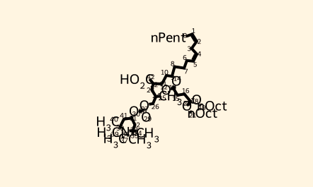 CCCCC/C=C\C/C=C\CCCCCC(OC(=O)CCC(OCCCCCCCC)OCCCCCCCC)C(CC(C)COC(=O)OC1CC(C)(C)N(C)C(C)(C)C1)C(=O)O